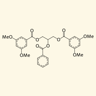 COc1cc(OC)cc(C(=O)OCC(COC(=O)c2cc(OC)cc(OC)c2)OC(=O)c2ccccc2)c1